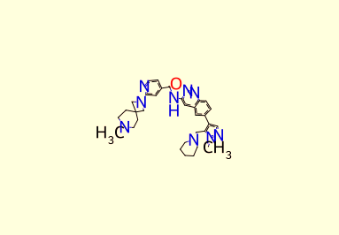 CN1CCC2(CC1)CN(c1cc(C(=O)Nc3cc4cc(-c5cnn(C)c5CN5CCCCC5)ccc4nn3)ccn1)C2